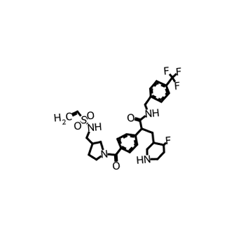 C=CS(=O)(=O)NCC1CCN(C(=O)c2ccc(C(CC3CNCCC3F)C(=O)NCc3ccc(C(F)(F)F)cc3)cc2)C1